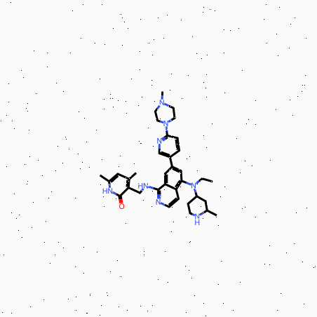 CCN(c1cc(-c2ccc(N3CCN(C)CC3)nc2)cc2c(NCc3c(C)cc(C)[nH]c3=O)nccc12)C1CCNC(C)C1